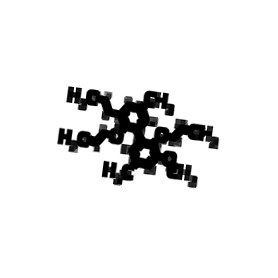 C=CCOc1c(CCC)cc(C)cc1-c1cc(C)cc(OC)c1OCC=C